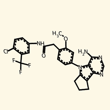 COc1cc(-n2c3c(c4ncnc(N)c42)CCC3)ccc1CC(=O)Nc1ccc(Cl)c(C(F)(F)F)c1